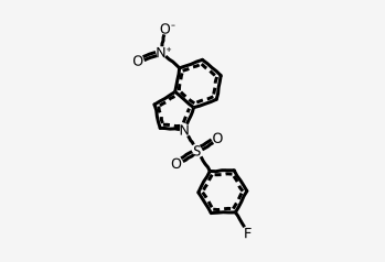 O=[N+]([O-])c1cccc2c1ccn2S(=O)(=O)c1ccc(F)cc1